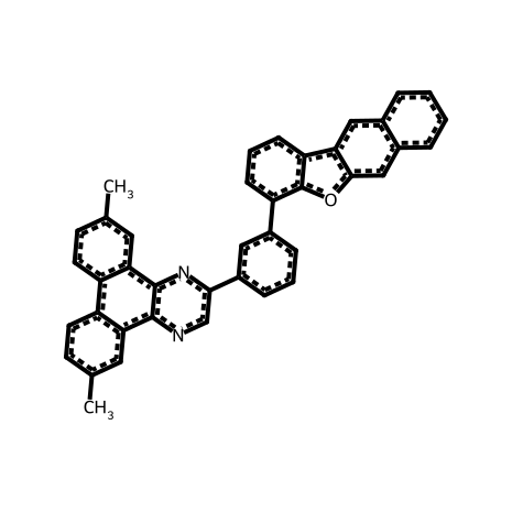 Cc1ccc2c3ccc(C)cc3c3nc(-c4cccc(-c5cccc6c5oc5cc7ccccc7cc56)c4)cnc3c2c1